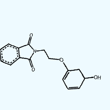 O=C1c2ccccc2C(=O)N1CCOC1=CC=CC(O)C1